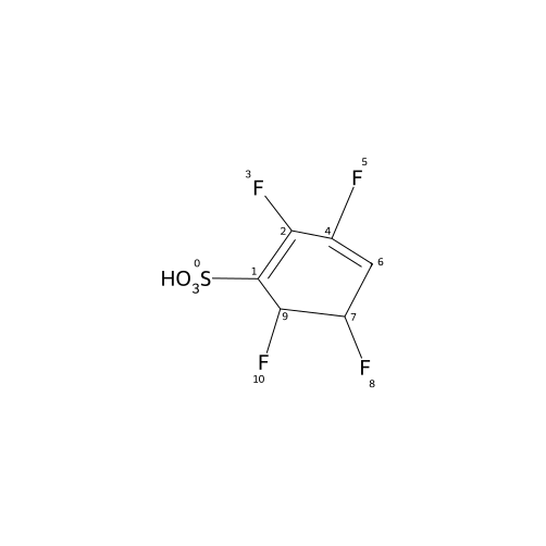 O=S(=O)(O)C1=C(F)C(F)=CC(F)C1F